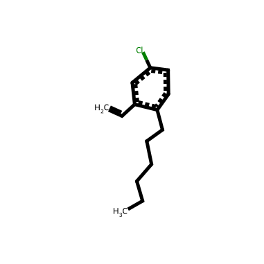 C=Cc1cc(Cl)ccc1CCCCCC